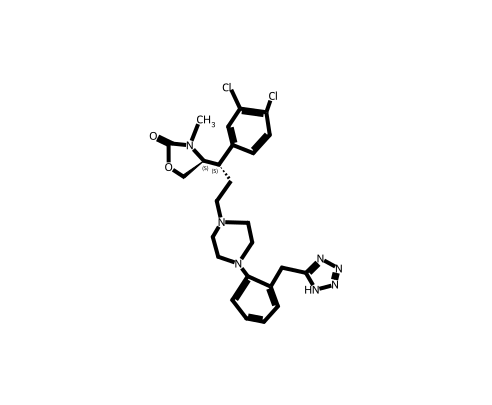 CN1C(=O)OC[C@@H]1[C@@H](CCN1CCN(c2ccccc2Cc2nnn[nH]2)CC1)c1ccc(Cl)c(Cl)c1